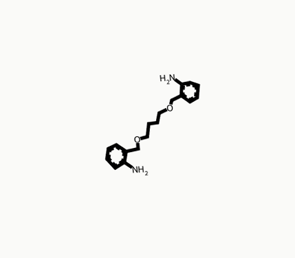 Nc1ccccc1COCCCCOCc1ccccc1N